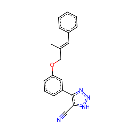 C/C(=C\c1ccccc1)COc1cccc(-c2nn[nH]c2C#N)c1